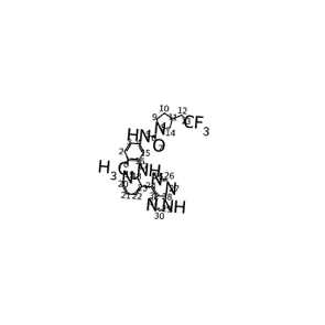 Cc1ccc(NC(=O)N2CCC(CC(F)(F)F)C2)cc1Nc1ncccc1-c1ncnc2[nH]cnc12